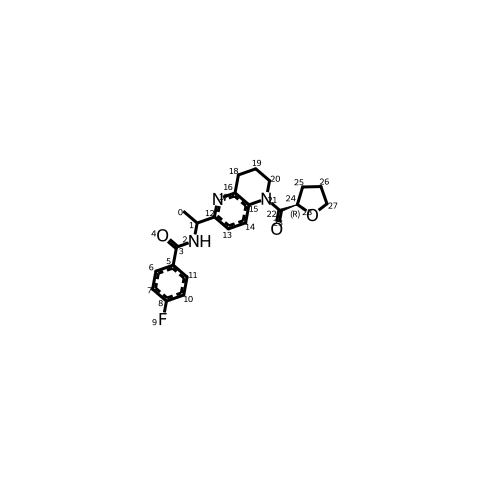 CC(NC(=O)c1ccc(F)cc1)c1ccc2c(n1)CCCN2C(=O)[C@H]1CCCO1